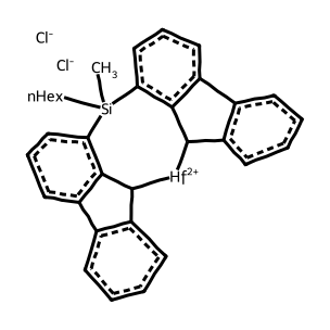 CCCCCC[Si]1(C)c2cccc3c2[CH]([Hf+2][CH]2c4ccccc4-c4cccc1c42)c1ccccc1-3.[Cl-].[Cl-]